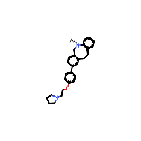 CC(=O)N1Cc2ccc(-c3ccc(OCCN4CCCC4)cc3)cc2CCc2ccccc21